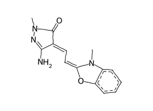 CN1N=C(N)/C(=C\C=C2\Oc3ccccc3N2C)C1=O